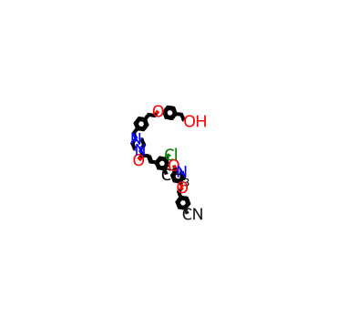 Cc1cc(C=CC(=O)N2CCN(Cc3ccc(CCOc4ccc(CCO)cc4)cc3)CC2)cc(Cl)c1Oc1ccc(OCc2ccc(C#N)cc2)cn1